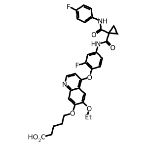 CCOc1cc2c(Oc3ccc(NC(=O)C4(C(=O)Nc5ccc(F)cc5)CC4)cc3F)ccnc2cc1OCCCCC(=O)O